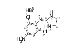 Br.Nc1cc(Cl)c(N=C2NCCN2)c(Cl)c1